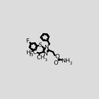 CC(C)c1nc(CCOC(N)=O)n(Cc2ccccc2)c1Sc1cc(F)cc(F)c1